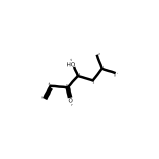 [CH2]C(C)CC(O)C(=O)C=C